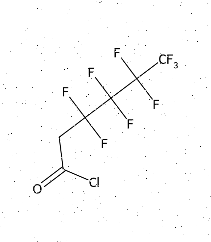 O=C(Cl)CC(F)(F)C(F)(F)C(F)(F)C(F)(F)F